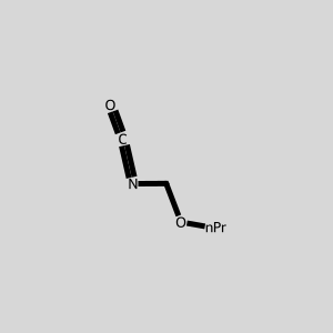 CCCOCN=C=O